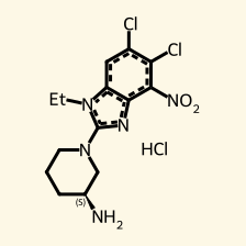 CCn1c(N2CCC[C@H](N)C2)nc2c([N+](=O)[O-])c(Cl)c(Cl)cc21.Cl